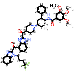 CCC(CC(CNC(=O)c1cc(OC)c(OC)c(OC)c1)c1ccccc1)N1CCC(C(=O)c2nc3c(C(=O)c4nc5ccccc5n4CCCC(F)(F)F)cccc3[nH]2)CC1